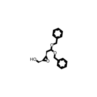 OC[C@@H]1O[C@@H]1CC(OCc1ccccc1)OCc1ccccc1